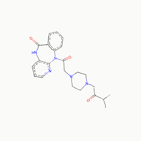 CC(C)C(=O)CN1CCN(CC(=O)N2c3ccccc3C(=O)Nc3cccnc32)CC1